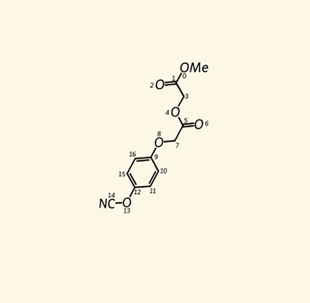 COC(=O)COC(=O)COc1ccc(OC#N)cc1